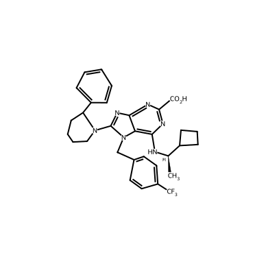 C[C@@H](Nc1nc(C(=O)O)nc2nc(N3CCCCC3c3ccccc3)n(Cc3ccc(C(F)(F)F)cc3)c12)C1CCC1